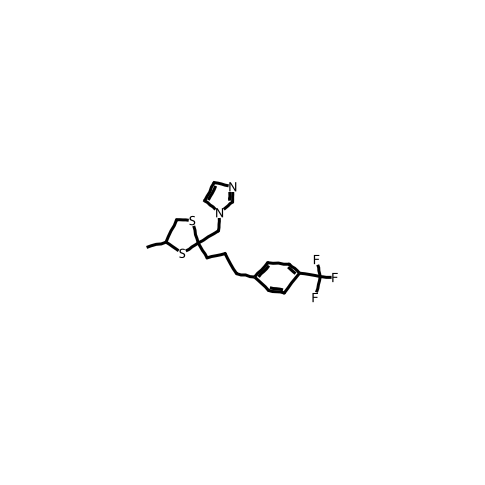 CC1CSC(CCCc2ccc(C(F)(F)F)cc2)(Cn2ccnc2)S1